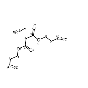 CCCC.CCCCCCCCCCCCOC(=O)CC(=O)OCCCCCCCCCCCC